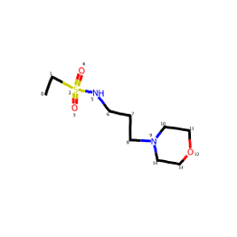 CCS(=O)(=O)NCCCN1CCOCC1